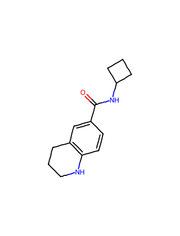 O=C(NC1CCC1)c1ccc2c(c1)CCCN2